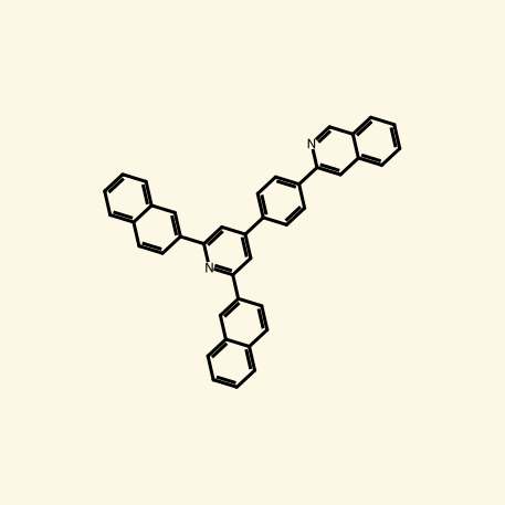 c1ccc2cc(-c3cc(-c4ccc(-c5cc6ccccc6cn5)cc4)cc(-c4ccc5ccccc5c4)n3)ccc2c1